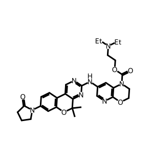 CCN(CC)CCOC(=O)N1CCOc2ncc(Nc3ncc4c(n3)C(C)(C)Oc3cc(N5CCCC5=O)ccc3-4)cc21